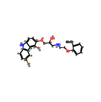 COc1ccccc1OCCNCC(O)COc1ccc2[nH]c3ccc(Br)cc3c2c1Br